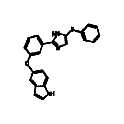 c1ccc(Sc2cnc(-c3cccc(Oc4ccc5[nH]ccc5c4)c3)[nH]2)cc1